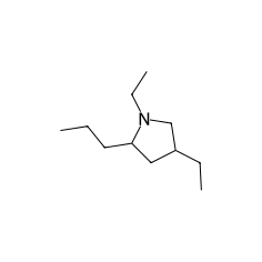 CCCC1CC(CC)CN1CC